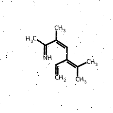 C=CC(/C=C(/C)C(C)=N)=C(C)C